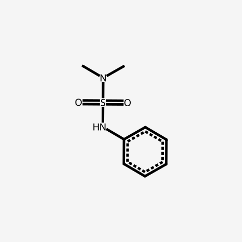 CN(C)S(=O)(=O)Nc1ccccc1